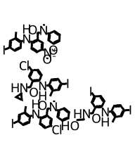 Cc1cc(I)ccc1Nc1ccc(Cl)cc1C(=O)N(C)c1ccccc1.Cc1cc(I)ccc1Nc1ccc(Cl)cc1C(=O)NC1CC1.Cc1cc(I)ccc1Nc1ccc(I)cc1C(=O)NCCO.Cc1cc(I)ccc1Nc1ccc([N+](=O)[O-])cc1C(=O)N(C)c1ccccc1